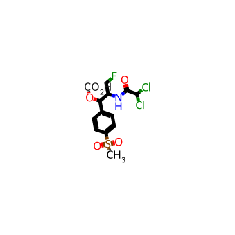 CS(=O)(=O)c1ccc(C(OC(=O)O)C(CF)NC(=O)C(Cl)Cl)cc1